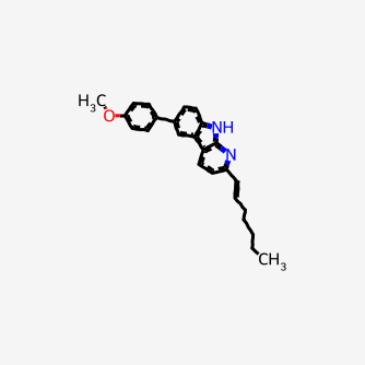 CCCCCC=Cc1ccc2c(n1)[nH]c1ccc(-c3ccc(OC)cc3)cc12